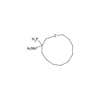 CC(=O)NC1(P)CCCCCCCCCCC1